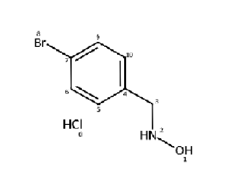 Cl.ONCc1ccc(Br)cc1